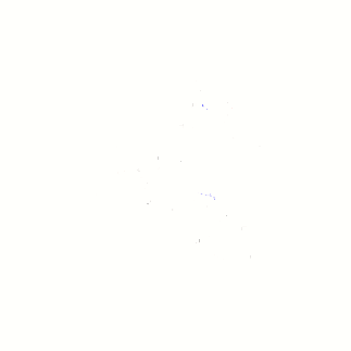 Cc1cc(-c2cc([S+](C)[O-])ccc2NC2CCOC2)cn(C)c1=O